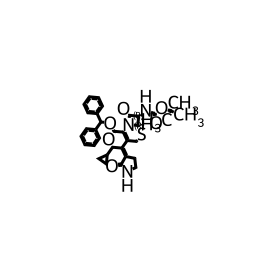 CC(C)(C)OC(=O)N[C@@H]1C(=O)N2C(C(=O)OC(c3ccccc3)c3ccccc3)=C(C(CC3CC3)=C3CCNC3=O)CS[C@H]12